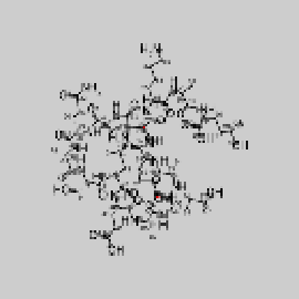 CC(C)C[C@H](NC(=O)[C@H](CO)NC(=O)[C@H](C)NC(=O)[C@H](CCC(N)=O)NC(=O)[C@H](C)NC(=O)[C@@H](N)CO)C(=O)N[C@@H](CCC(=O)O)C(=O)N[C@@H](C)C(=O)N[C@@H](CCC(=O)O)C(=O)N[C@@H](C)C(=O)N[C@@H](CCCCN)C(=O)NCC(=O)N[C@@H](CCCCN)C(=O)N[C@@H](C)C(=O)N[C@@H](CCC(=O)O)C(=O)O